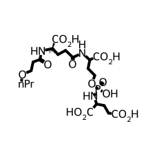 CCCOCCC(=O)N[C@H](CCC(=O)NC(CCOP(=O)(O)NC(CCC(=O)O)C(=O)O)C(=O)O)C(=O)O